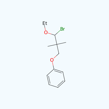 CCOC(Br)C(C)(C)COc1ccccc1